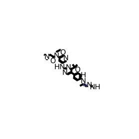 C/C(=C/N=N)Nc1ccc2c(c1)OC(C)(C)c1nc(Nc3cnc4c(c3)N(C(=O)CN(C)C)CCO4)ncc1-2